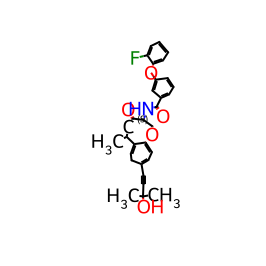 CC1CC(=O)[C@@H](NC(=O)c2cccc(Oc3ccccc3F)c2)COC2=CC=C(C#CC(C)(C)O)CC=C21